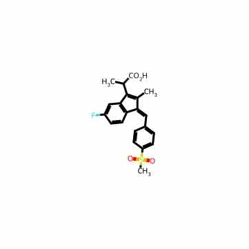 CC1=C(C(C)C(=O)O)c2cc(F)ccc2C1=Cc1ccc(S(C)(=O)=O)cc1